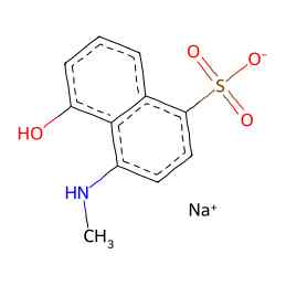 CNc1ccc(S(=O)(=O)[O-])c2cccc(O)c12.[Na+]